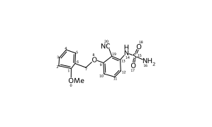 COc1ccccc1COc1cccc(NS(N)(=O)=O)c1C#N